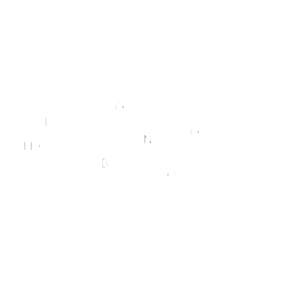 CC1(C)c2ccccc2B2c3cc(-c4ccccc4)oc3N(c3ccc(-c4ccccc4)o3)c3oc(-c4ccccc4)c1c32